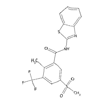 Cc1c(C(=O)Nc2nc3ccccc3s2)cc(S(C)(=O)=O)cc1C(F)(F)F